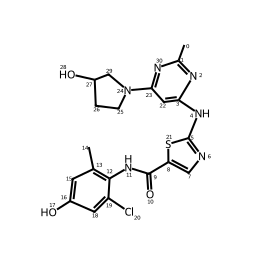 Cc1nc(Nc2ncc(C(=O)Nc3c(C)cc(O)cc3Cl)s2)cc(N2CCC(O)C2)n1